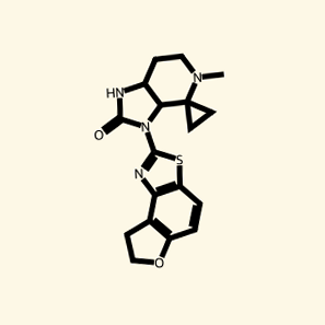 CN1CCC2NC(=O)N(c3nc4c5c(ccc4s3)OCC5)C2C12CC2